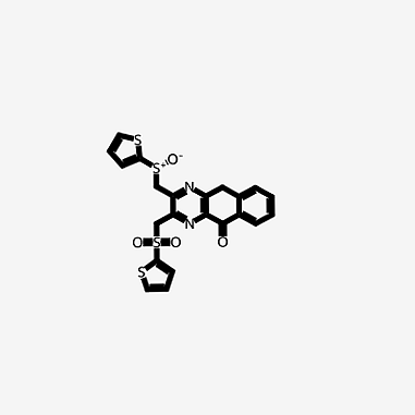 O=C1c2ccccc2Cc2nc(C[S+]([O-])c3cccs3)c(CS(=O)(=O)c3cccs3)nc21